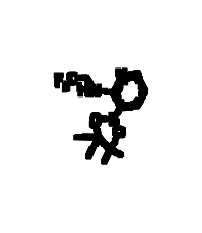 CC1(C)OB(c2cccnc2NCC(F)(F)F)OC1(C)C